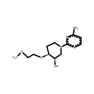 COCCO[C@H]1CCN(c2nccc(N)n2)C[C@H]1O